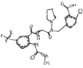 CNC(=O)Nc1ccc(C(F)(F)F)cc1C(=O)NCC(=O)N(Cc1ccc(Cl)c(C(=O)O)c1)N1CCCC1